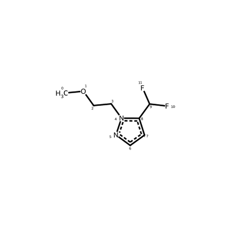 COCCn1nc[c]c1C(F)F